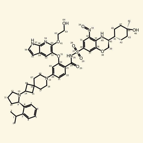 CC(C)c1ccccc1[C@H]1CCCN1C1CC2(CCN(c3ccc(C(=O)NS(=O)(=O)c4cc(N=O)c5c(c4)OC[C@H]([C@H]4CC[C@](C)(O)CC4)N5)c(Oc4cc5cc[nH]c5nc4OCCO)c3)CC2)C1